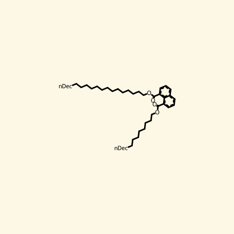 CCCCCCCCCCCCCCCCCCCCCCCCOC(=O)c1cccc2cccc(C(=O)OCCCCCCCCCCCCCCCCCC)c12